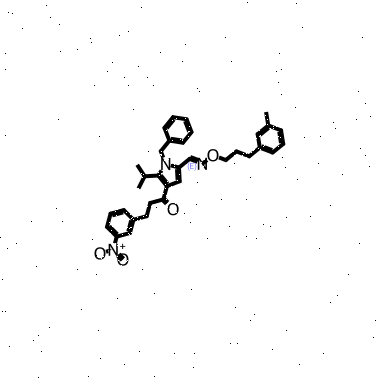 Cc1cccc(CCCO/N=C/c2cc(C(=O)CCc3cccc([N+](=O)[O-])c3)c(C(C)C)n2Cc2ccccc2)c1